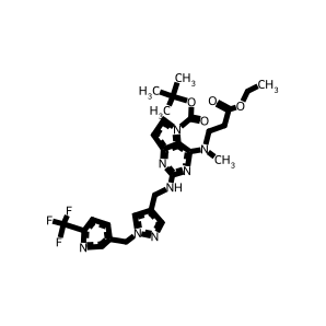 CCOC(=O)CCN(C)c1nc(NCc2cnn(Cc3ccc(C(F)(F)F)nc3)c2)nc2ccn(C(=O)OC(C)(C)C)c12